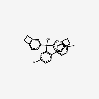 OC(c1ccc2c(c1)CC2)(c1ccc2c(c1)CC2)c1cc(Br)ccc1-c1ccc(Br)cc1